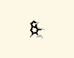 Cc1c(F)cc2ccsc2c1F